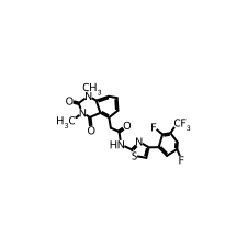 Cn1c(=O)c2c(CC(=O)Nc3nc(-c4cc(F)cc(C(F)(F)F)c4F)cs3)cccc2n(C)c1=O